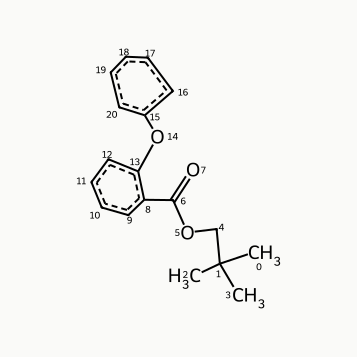 CC(C)(C)COC(=O)c1ccccc1Oc1ccccc1